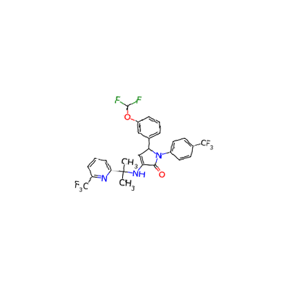 CC(C)(NC1=CC(c2cccc(OC(F)F)c2)N(c2ccc(C(F)(F)F)cc2)C1=O)c1cccc(C(F)(F)F)n1